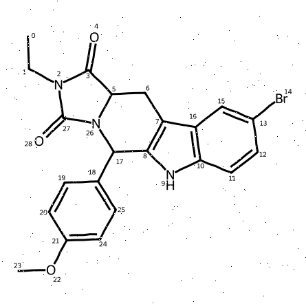 CCN1C(=O)C2Cc3c([nH]c4ccc(Br)cc34)C(c3ccc(OC)cc3)N2C1=O